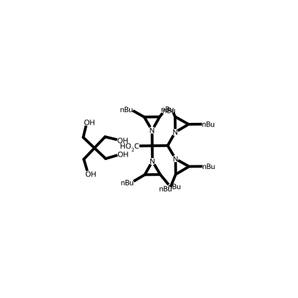 CCCCC1C(CCCC)N1C(N1C(CCCC)C1CCCC)C(C(=O)O)(N1C(CCCC)C1CCCC)N1C(CCCC)C1CCCC.OCC(CO)(CO)CO